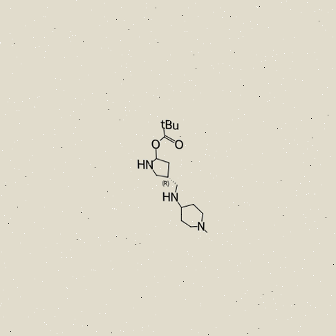 CN1CCC(NC[C@@H]2CNC(OC(=O)C(C)(C)C)C2)CC1